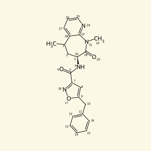 CC1C[C@H](NC(=O)c2cc(Cc3ccccc3)on2)C(=O)N(C)c2ncccc21